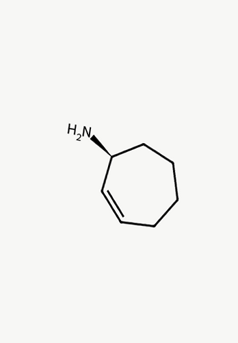 N[C@@H]1C=CCCCC1